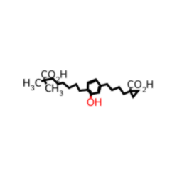 CC(C)(CCCCCCc1ccc(CCCCC2(C(=O)O)CC2)cc1O)C(=O)O